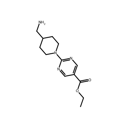 CCOC(=O)c1cnc(N2CCC(CN)CC2)nc1